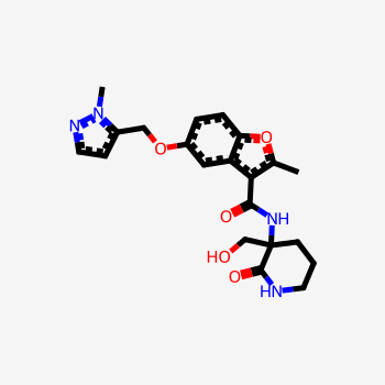 Cc1oc2ccc(OCc3ccnn3C)cc2c1C(=O)NC1(CO)CCCNC1=O